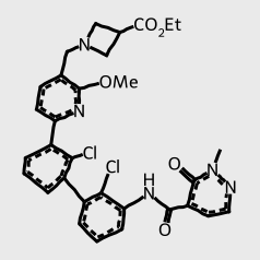 CCOC(=O)C1CN(Cc2ccc(-c3cccc(-c4cccc(NC(=O)c5ccnn(C)c5=O)c4Cl)c3Cl)nc2OC)C1